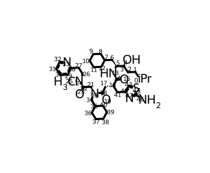 CC(C)CC[C@H](O)[C@H](CC1CCCCC1)NC(=O)[C@@H](CC(=O)N(CC(=O)N(C)CCc1ccccn1)CC1CCCCC1)Cc1csc(N)n1